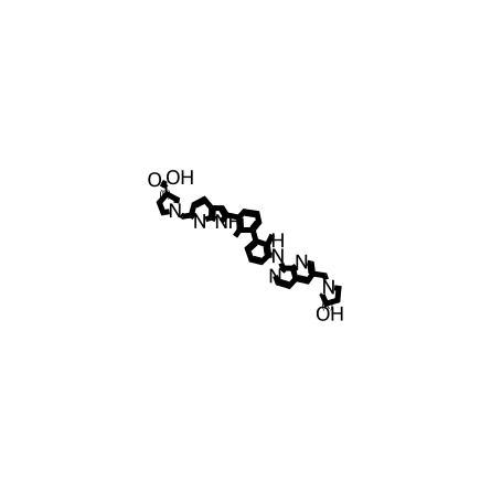 Cc1c(Nc2nccc3cc(CN4CC[C@@H](O)C4)cnc23)cccc1-c1cccc(-c2cc3ccc(CN4CC[C@@H](C(=O)O)C4)nc3[nH]2)c1C